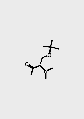 CC(=O)[C@@H](COC(C)(C)C)N(C)C